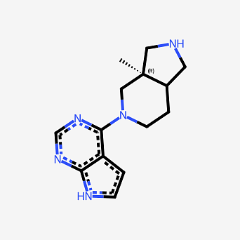 C[C@]12CNCC1CCN(c1ncnc3[nH]ccc13)C2